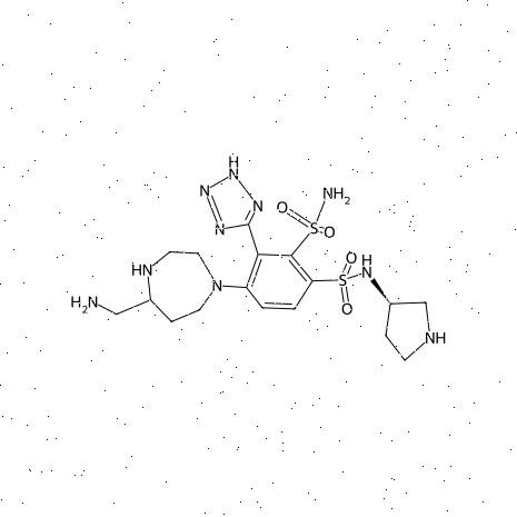 NCC1CCN(c2ccc(S(=O)(=O)N[C@@H]3CCNC3)c(S(N)(=O)=O)c2-c2nn[nH]n2)CCN1